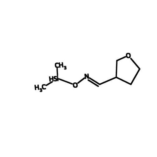 C[SiH](C)ON=CC1CCOC1